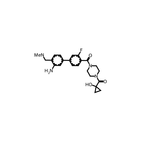 CNCc1ccc(-c2ccc(C(=O)N3CCN(C(=O)C4(O)CC4)CC3)c(F)c2)cc1N